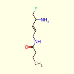 CCCC(=O)NCC=CC(N)CF